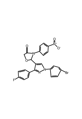 O=C1COC(c2cn(-c3ccc(Br)cc3)nc2-c2ccc(F)cc2)N1c1ccc([N+](=O)[O-])cc1